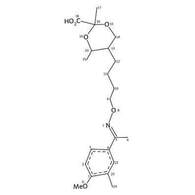 COc1ccc(C(C)=NOCCCCC2COC(C)(C(=O)O)OC2C)cc1C